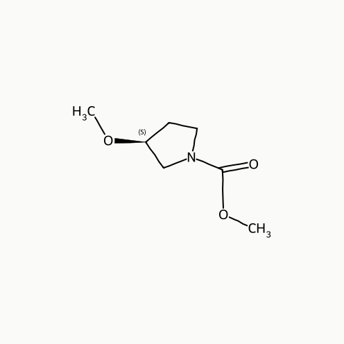 COC(=O)N1CC[C@H](OC)C1